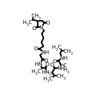 CC(C)CNC(=O)[C@H](C)NC(=O)[C@@H](NC(=O)[C@H](C)NC(=O)CNC(=O)CCCCCN1C(=O)CC(C(C)C)C1=O)C(C)C